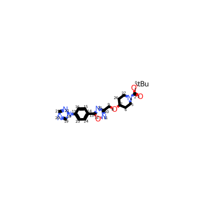 CC(C)(C)OC(=O)N1CCC(OCc2noc(-c3ccc(-n4cncn4)cc3)n2)CC1